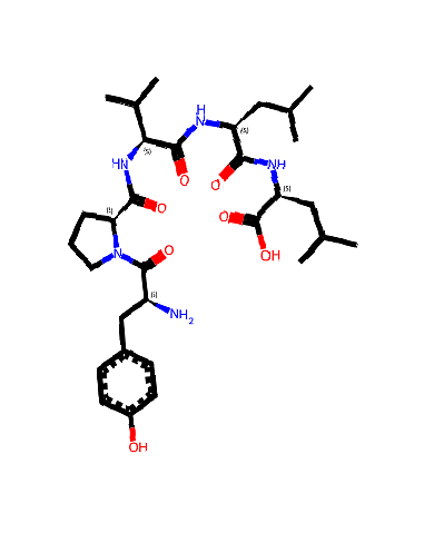 CC(C)C[C@H](NC(=O)[C@H](CC(C)C)NC(=O)[C@@H](NC(=O)[C@@H]1CCCN1C(=O)[C@@H](N)Cc1ccc(O)cc1)C(C)C)C(=O)O